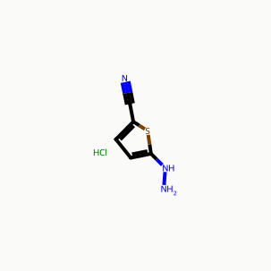 Cl.N#Cc1ccc(NN)s1